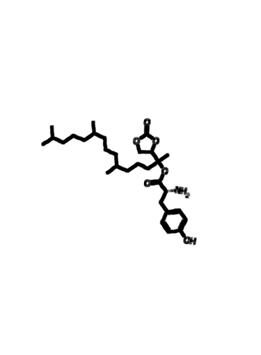 CC(C)CCCC(C)CCCC(C)CCCC(C)(OC(=O)[C@H](N)Cc1ccc(O)cc1)C1COC(=O)O1